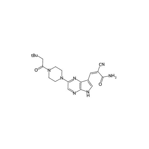 CC(C)(C)CC(=O)N1CCN(c2cnc3[nH]cc(C=C(C#N)C(N)=O)c3n2)CC1